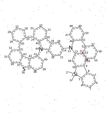 C[Si]1(C)c2ccccc2-c2ccc(N(c3ccc4c(c3)c3cccc5c6ccccc6c6cccc7sc8cccc(c8c76)n4c53)c3ccccc3-c3ccccc3)cc21